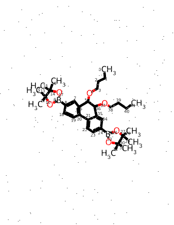 CCCCOC1c2cc(B3OC(C)(C)C(C)(C)O3)ccc2-c2ccc(B3OC(C)(C)C(C)(C)O3)cc2C1OCCCC